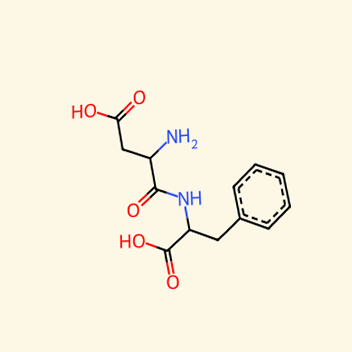 NC(CC(=O)O)C(=O)NC(Cc1ccccc1)C(=O)O